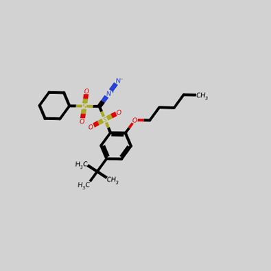 CCCCCOc1ccc(C(C)(C)C)cc1S(=O)(=O)C(=[N+]=[N-])S(=O)(=O)C1CCCCC1